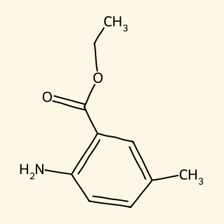 CCOC(=O)c1cc(C)ccc1N